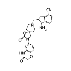 N#Cc1cccc2c1CC(CN1CCC3(CC1)CN(c1ccc4c(n1)NC(=O)CO4)C(=O)O3)C2N